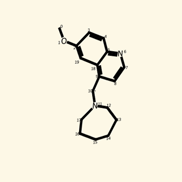 COc1ccc2nccc([CH]N3CCCCCC3)c2c1